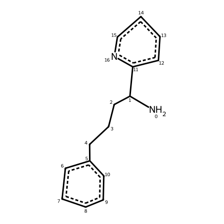 NC(CCCc1ccccc1)c1ccccn1